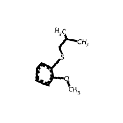 COc1ccccc1SCC(C)C